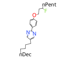 CCCCCCCCCCCCCCc1cnc(-c2ccc(OCCC(F)CCCCC)cc2)nc1